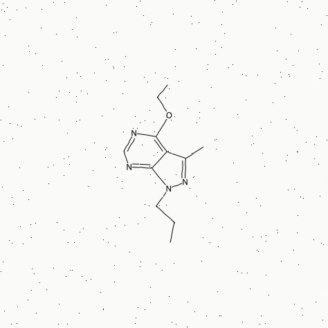 CCCn1nc(C)c2c(OCC)ncnc21